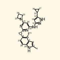 Cc1cc2c(F)c(Oc3nc(Nc4cc(C5CC5)[nH]n4)cc(N4CCC4)n3)ccc2[nH]1